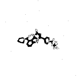 CC(C)(C)OC(=O)N1CCC(c2cc(=O)[nH]c3c4c(C(=O)N5CCCCC5)cccc4nn23)CC1